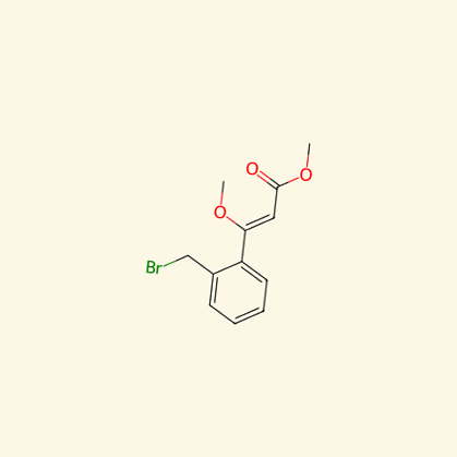 COC(=O)C=C(OC)c1ccccc1CBr